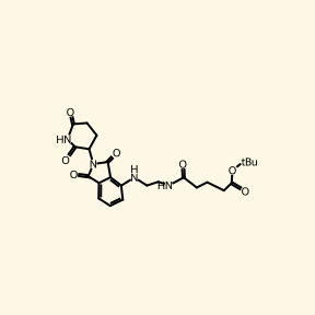 CC(C)(C)OC(=O)CCCC(=O)NCCNc1cccc2c1C(=O)N(C1CCC(=O)NC1=O)C2=O